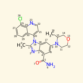 Cc1nc2c(C(N)=O)cc(N3CCOCC3C)cc2n1-c1ccnc2c(Cl)cccc12